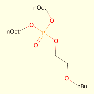 CCCCCCCCOP(=O)(OCCCCCCCC)OCCOCCCC